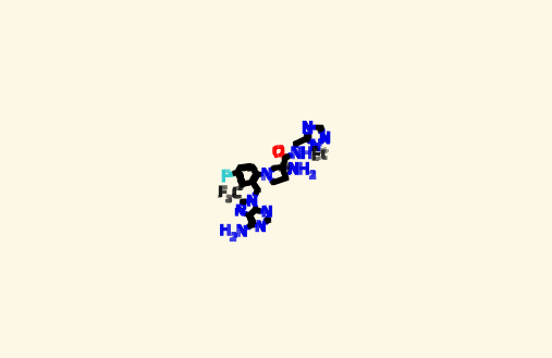 CCn1ncnc1CNC(=O)[C@@]1(N)CCN(c2ccc(F)c(C(F)(F)F)c2Cn2cnc3c(N)ncnc32)C1